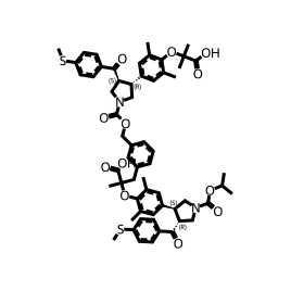 CSc1ccc(C(=O)[C@H]2CN(C(=O)OC(C)C)C[C@@H]2c2cc(C)c(OC(C)(Cc3cccc(COC(=O)N4C[C@@H](C(=O)c5ccc(SC)cc5)[C@H](c5cc(C)c(OC(C)(C)C(=O)O)c(C)c5)C4)c3)C(=O)O)c(C)c2)cc1